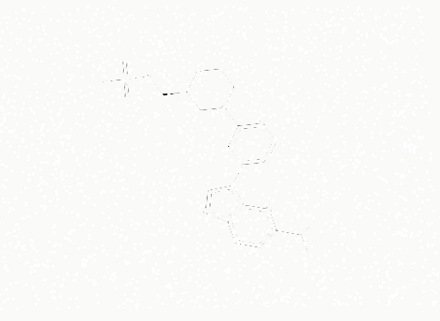 CS(=O)(=O)NC[C@H]1CCCN(c2cc(-c3cnc4ccc(C(F)F)nn34)ncn2)C1